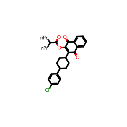 CCCC(CCC)C(=O)OC1=C(C2CCC(c3ccc(Cl)cc3)CC2)C(=O)c2ccccc2C1=O